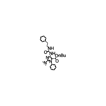 CCCCOC(=O)c1c(NC(=O)NCCc2ccccc2)nc(N(C)C)n1-c1ccccc1